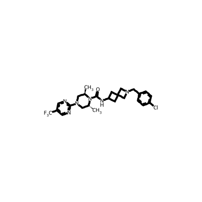 C[C@@H]1CN(c2ncc(C(F)(F)F)cn2)C[C@@H](C)N1C(=O)NC1CC2(C1)CN(Cc1ccc(Cl)cc1)C2